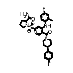 Cc1cc(F)ccc1Nc1cc(S(=O)(=O)N2CCCC2C(N)=O)ncc1C(=O)N1CCC(c2ccc(F)cc2)CC1